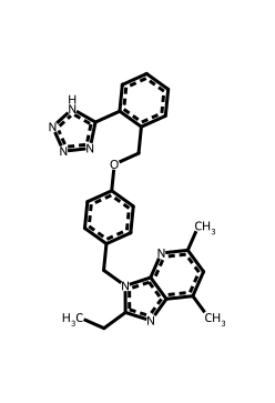 CCc1nc2c(C)cc(C)nc2n1Cc1ccc(OCc2ccccc2-c2nnn[nH]2)cc1